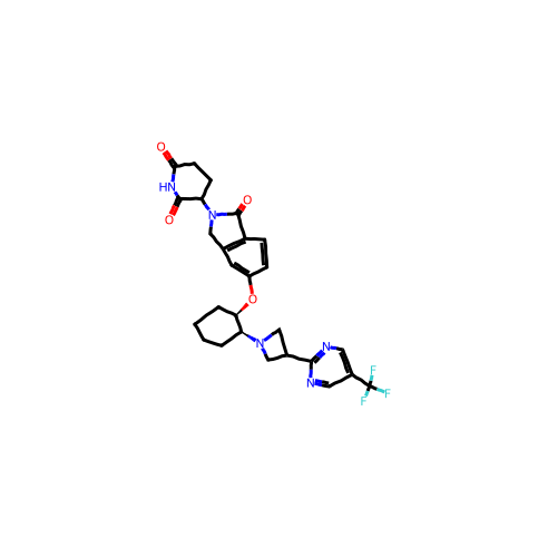 O=C1CCC(N2Cc3cc(O[C@@H]4CCCC[C@@H]4N4CC(c5ncc(C(F)(F)F)cn5)C4)ccc3C2=O)C(=O)N1